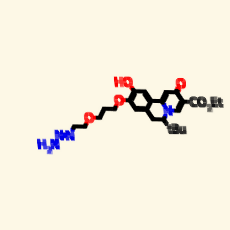 CCOC(=O)c1cn2c(cc1=O)-c1cc(O)c(OCCCOCCN=NN)cc1CC2C(C)(C)C